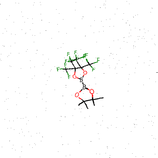 CC1(C)OB(B2OC(C(F)(F)F)(C(F)(F)F)C(C(F)(F)F)(C(F)(F)F)O2)OC1(C)C